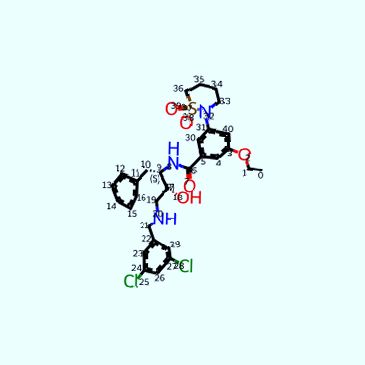 CCOc1cc(C(=O)N[C@@H](Cc2ccccc2)[C@H](O)CNCc2cc(Cl)cc(Cl)c2)cc(N2CCCCS2(=O)=O)c1